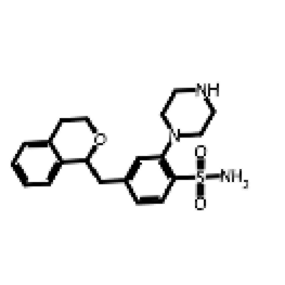 NS(=O)(=O)c1ccc(CC2OCCc3ccccc32)cc1N1CCNCC1